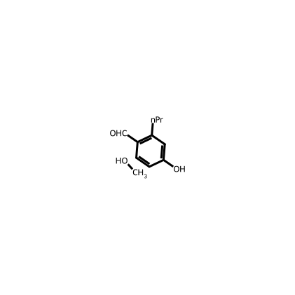 CCCc1cc(O)ccc1C=O.CO